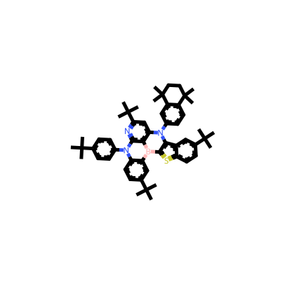 CC(C)(C)c1ccc(N2c3ccc(C(C)(C)C)cc3B3c4sc5ccc(C(C)(C)C)cc5c4N(c4ccc5c(c4)C(C)(C)CCC5(C)C)c4cc(C(C)(C)C)nc2c43)cc1